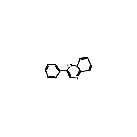 C1=CC2=NC=C(c3ccccc3)NC2C=C1